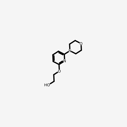 OCCOc1cccc(N2CCOCC2)n1